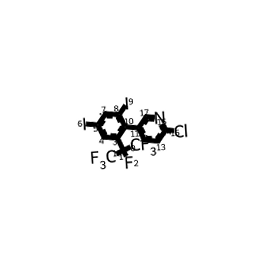 FC(F)(F)C(F)(c1cc(I)[c]c(I)c1-c1ccc(Cl)nc1)C(F)(F)F